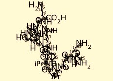 CC(C)C[C@H](NC(=O)[C@H](C)NC(=O)CNC(=O)[C@H](CCCCN)NC(=O)[C@H](C)N)C(=O)N[C@H](C(=O)N1CCC[C@H]1C(=O)N[C@@H](CCCNC(=N)N)C(=O)NCC(=O)N[C@@H](CO)C(=O)N[C@@H](C)C(=O)NCC(=O)N[C@@H](CCCCN)C(=O)O)C(C)C